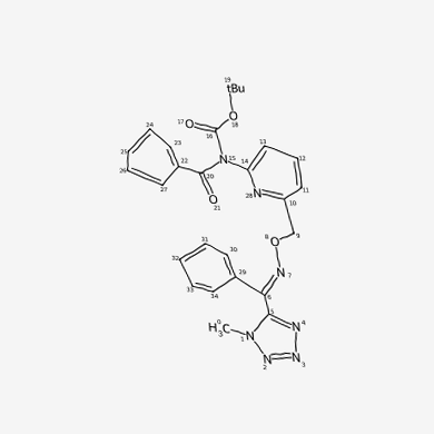 Cn1nnnc1C(=NOCc1cccc(N(C(=O)OC(C)(C)C)C(=O)c2ccccc2)n1)c1ccccc1